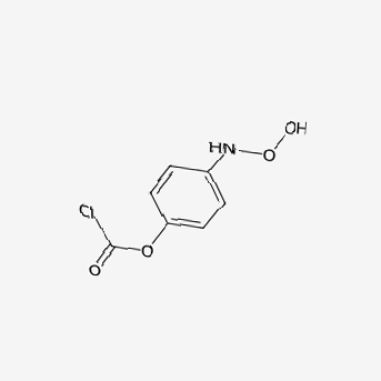 O=C(Cl)Oc1ccc(NOO)cc1